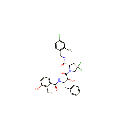 Cc1c(O)cccc1C(=O)N[C@@H](Cc1ccccc1)[C@H](O)C(=O)N1CC(F)(F)C[C@H]1C(=O)NCc1ccc(F)cc1C(F)(F)F